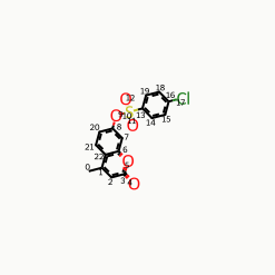 Cc1cc(=O)oc2cc(OS(=O)(=O)c3ccc(Cl)cc3)ccc12